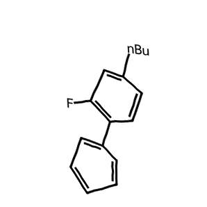 CCCCc1ccc(-c2ccccc2)c(F)c1